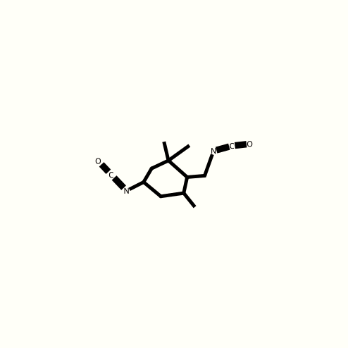 CC1CC(N=C=O)CC(C)(C)C1CN=C=O